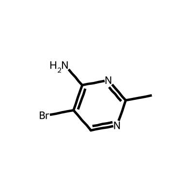 Cc1ncc(Br)c(N)n1